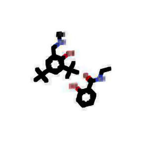 CC(C)(C)c1cc(C[NH][Mn])c(O)c(C(C)(C)C)c1.CCNC(=O)c1ccccc1O